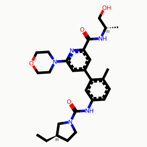 CC[C@@H]1CCN(C(=O)Nc2ccc(C)c(-c3cc(C(=O)N[C@@H](C)CO)nc(N4CCOCC4)c3)c2)C1